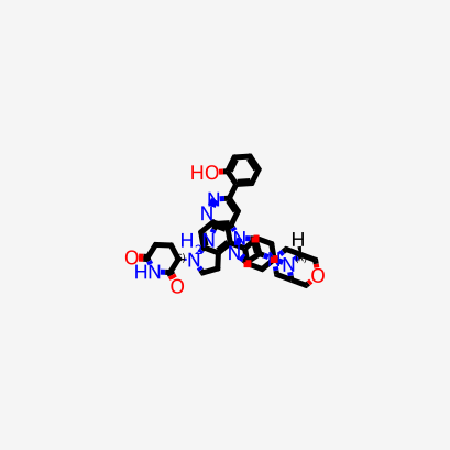 Nc1nnc(-c2ccccc2O)cc1-n1cc(N2CC3COC[C@@H](C2)N3C2CCC(c3cccc4c3CCN4[C@H]3CCC(=O)NC3=O)CC2)cn1